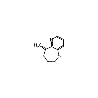 C=C1CCCOc2cccnc21